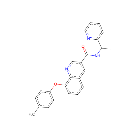 CC(NC(=O)c1cnc2c(Oc3ccc(C(F)(F)F)cc3)cccc2c1)c1ccccn1